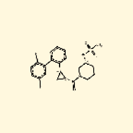 CS(=O)(=O)N[C@@H]1CCCN(C(=O)[C@@H]2C[C@H]2c2ccccc2-c2cc(F)ccc2F)C1